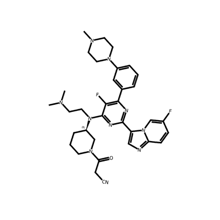 CN(C)CCN(c1nc(-c2cnc3ccc(F)cn23)nc(-c2cccc(N3CCN(C)CC3)c2)c1F)[C@@H]1CCCN(C(=O)CC#N)C1